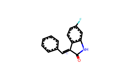 O=C1Nc2cc(F)ccc2/C1=C\c1ccccc1